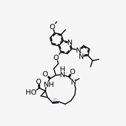 COc1ccc2c(OCCC3NC(=O)N(C)CCCC/C=C/C4CC4(C(=O)O)NC3=O)cc(-n3ccc(C(C)C)n3)nc2c1C